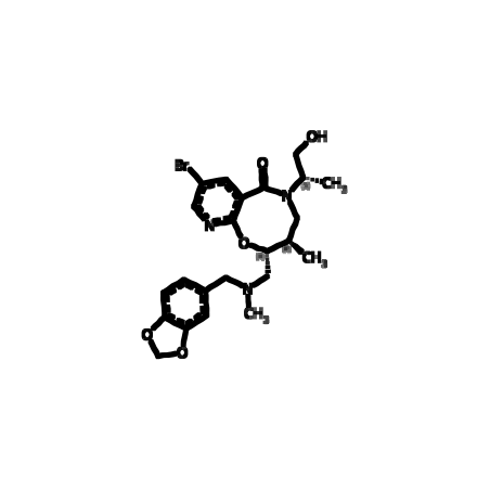 C[C@@H]1CN([C@@H](C)CO)C(=O)c2cc(Br)cnc2O[C@H]1CN(C)Cc1ccc2c(c1)OCO2